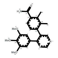 COc1cc(-c2ncncc2-c2ccc(C(N)=O)c(C)c2C)cc(OC)c1OC